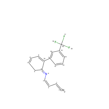 C=C/C=C\N=C1/CC=CC=C1c1cccc(C(F)(F)F)c1